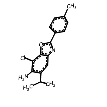 Cc1ccc(-c2nc3cc(C(C)C)c(N)c(Cl)c3o2)cc1